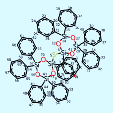 c1ccc([Si]2(S[Si]3(c4ccccc4)O[Si](c4ccccc4)(c4ccccc4)O[Si](c4ccccc4)(c4ccccc4)O3)O[Si](c3ccccc3)(c3ccccc3)O[Si](c3ccccc3)(c3ccccc3)O2)cc1